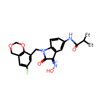 CCC(CC)C(=O)Nc1ccc2c(c1)/C(=N/O)C(=O)N2Cc1cc(F)cc2c1OCOC2